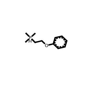 C[PH](C)(C)CCOc1ccccc1